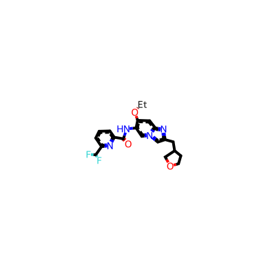 CCOc1cc2nc(CC3CCOC3)cn2cc1NC(=O)c1cccc(C(F)F)n1